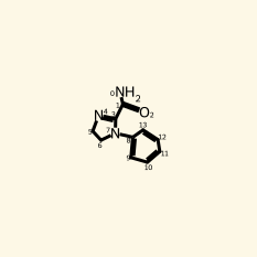 NC(=O)C1=NCCN1c1ccccc1